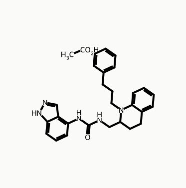 CC(=O)O.O=C(NCC1CCc2ccccc2N1CCCc1ccccc1)Nc1cccc2[nH]ncc12